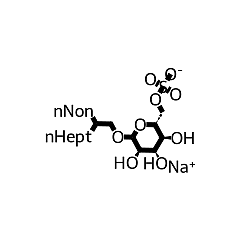 CCCCCCCCCC(CCCCCCC)COC1O[C@H](COS(=O)(=O)[O-])[C@@H](O)[C@H](O)[C@H]1O.[Na+]